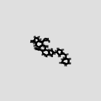 Cc1c(Nc2c(C#N)cnc3sc(C4CCN(Cc5ccccc5)C4)cc23)ccc2[nH]ccc12